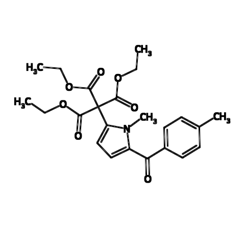 CCOC(=O)C(C(=O)OCC)(C(=O)OCC)c1ccc(C(=O)c2ccc(C)cc2)n1C